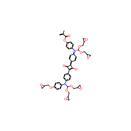 C=C(C)C(=O)Oc1ccc([N+](=C2C=CC(=C3C(=O)C(c4ccc(N(c5ccc(OCC6CO6)cc5)C(OCC5CO5)OCC5CO5)cc4)=C3[O-])C=C2)C(OCC2CO2)OCC2CO2)cc1